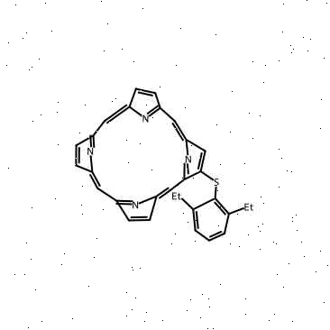 CCc1cccc(CC)c1SC1=CC2=CC3=NC(=CC4=NC(=CC5=NC(=CC1=N2)C=C5)C=C4)C=C3